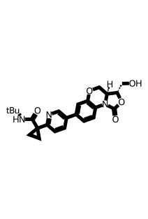 CC(C)(C)NC(=O)C1(c2ccc(-c3ccc4c(c3)OC[C@H]3[C@H](CO)OC(=O)N43)cn2)CC1